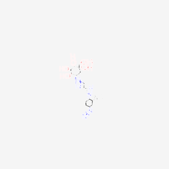 [N-]=[N+]=Nc1ccc(NCCCCN[C@H]2C[C@](O)(CO)[C@@H](O)[C@H](O)[C@H]2O)c([N+](=O)[O-])c1